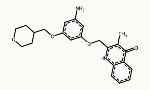 Cc1c(COc2cc(N)cc(OCC3CCOCC3)c2)[nH]c2ccccc2c1=O